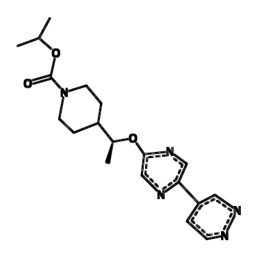 CC(C)OC(=O)N1CCC([C@H](C)Oc2cnc(-c3ccnnc3)cn2)CC1